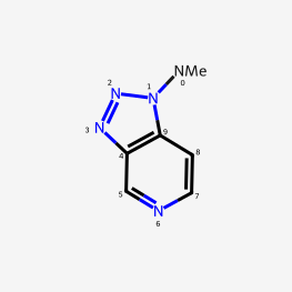 CNn1nnc2cnccc21